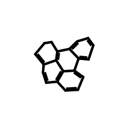 C1=c2ccc3cccc4c5ccccc5c(c2c34)CC1